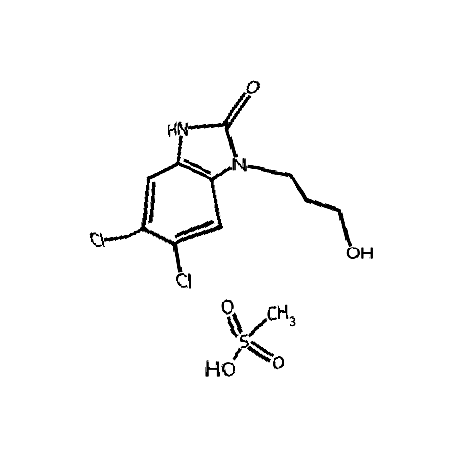 CS(=O)(=O)O.O=c1[nH]c2cc(Cl)c(Cl)cc2n1CCCO